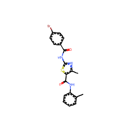 Cc1ccccc1NC(=O)c1sc(NC(=O)c2ccc(Br)cc2)nc1C